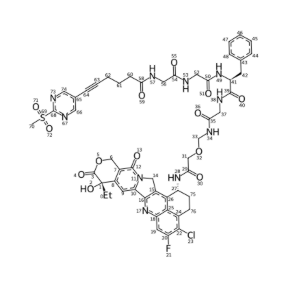 CC[C@@]1(O)C(=O)OCc2c1cc1n(c2=O)Cc2c-1nc1cc(F)c(Cl)c3c1c2[C@H](NC(=O)COCNC(=O)CNC(=O)[C@H](Cc1ccccc1)NC(=O)CNC(=O)CNC(=O)CCCC#Cc1cnc(S(C)(=O)=O)nc1)CC3